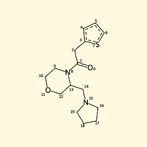 O=C(Cc1cccs1)N1CCOCC1CN1CCCC1